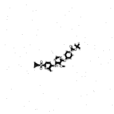 COc1c(Nc2ccc(S(=O)(=O)C3CC3)nc2C)ncnc1OC1CCN(C(=O)OC(C)(C)C)CC1